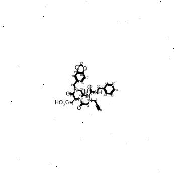 C#CCN1CC(=O)N2[C@@H](CC(=O)O)C(=O)N(Cc3ccc4c(c3)OCO4)C[C@@H]2N1C(=O)NCc1ccccc1